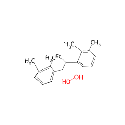 CCC(Cc1cccc(C)c1C)c1cccc(C)c1C.OO